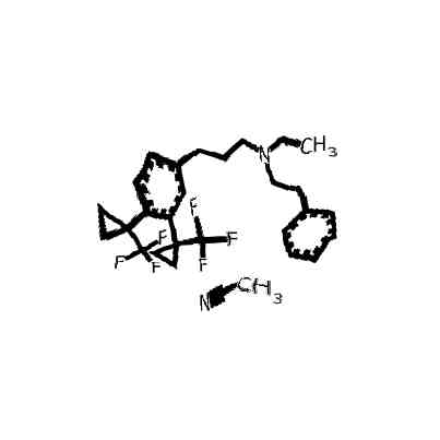 CC#N.CCN(CCCc1ccc(C2(C(F)(F)F)CC2)c(C2(C(F)(F)F)CC2)c1)CCc1ccccc1